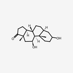 C[C@]12CCC(O)C[C@@H]1CC[C@@H]1[C@@H]2[C@@H](O)C[C@]2(C)C(=O)CC[C@@H]12